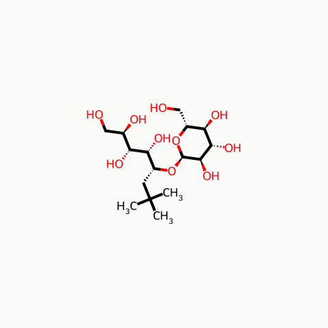 CC(C)(C)C[C@@H](O[C@H]1O[C@H](CO)[C@@H](O)[C@H](O)[C@H]1O)[C@@H](O)[C@H](O)[C@H](O)CO